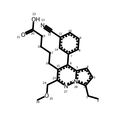 CCc1ccc2c(-c3cccc(C#N)c3)c(CCCCC(=O)O)c(COC)nn12